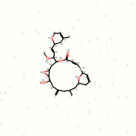 C=C1CC(C)CC2CC=CC(C/C=C\C(=O)OC(C(C=CC3CC(C)=CCO3)OC)CC3OC3C(O)C1)O2